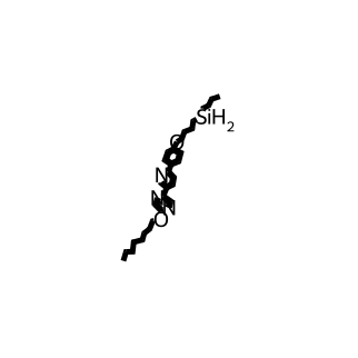 CCCCCCCCOc1cnc(-c2ccc(-c3ccc(OCCCC[SiH2]CCCC)cc3)nc2)cn1